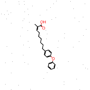 CC(=CCCCCCCc1ccc(Oc2ccccc2)cc1)C(=O)O